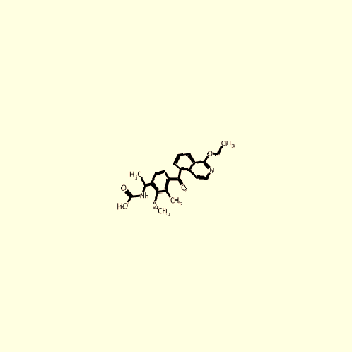 CCOc1nccc2c(C(=O)c3ccc(C(C)NC(=O)O)c(OC)c3C)cccc12